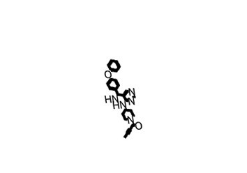 CC#CC(=O)N1CCC(Nc2ncncc2C(=N)c2ccc(Oc3ccccc3)cc2)CC1